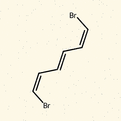 Br\C=C/C=C/C=C\Br